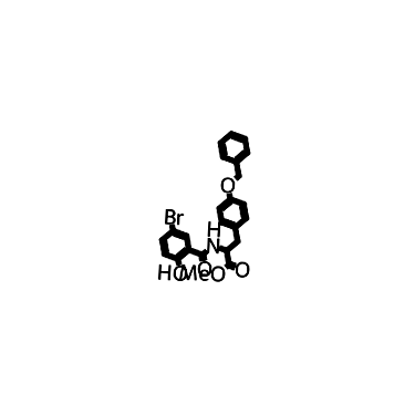 COC(=O)C(Cc1ccc(OCc2ccccc2)cc1)NC(=O)c1cc(Br)ccc1O